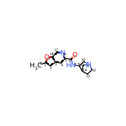 Cc1cc2cc(C(=O)NC3CN4CCC3C4)ncc2o1